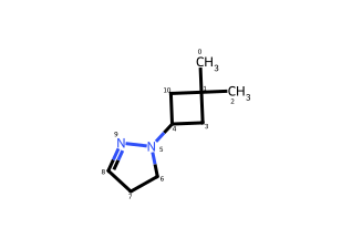 CC1(C)CC(N2CCC=N2)C1